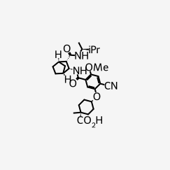 COc1cc(C#N)c(O[C@H]2CC[C@@](C)(C(=O)O)CC2)cc1C(=O)N[C@@H]1[C@H]2CC[C@H](C2)[C@@H]1C(=O)N[C@@H](C)C(C)C